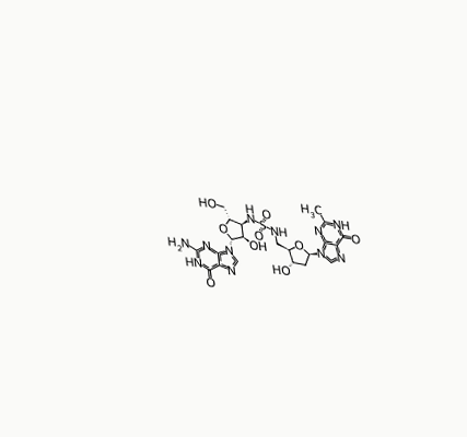 Cc1nc2c(ncn2[C@H]2C[C@H](O)[C@@H](CNS(=O)(=O)N[C@H]3[C@@H](O)[C@H](n4cnc5c(=O)[nH]c(N)nc54)O[C@@H]3CO)O2)c(=O)[nH]1